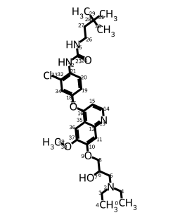 CCN(CC)CC(O)COc1cc2nccc(Oc3ccc(NC(=O)NCCC(C)(C)C)c(Cl)c3)c2cc1OC